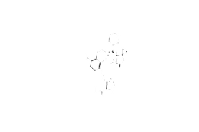 C[C@H]1CCCC[C@H]1C(=O)N1CCc2c(Cl)ccc(OCc3ncsc3C(F)F)c2[C@H]1CN1CC2(CC2)CC1=O